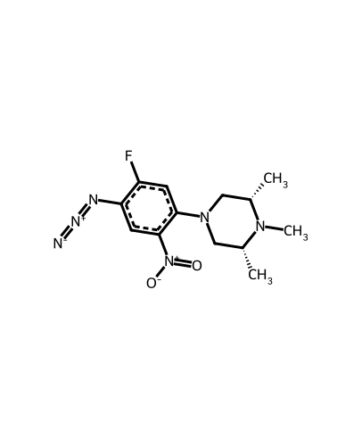 C[C@@H]1CN(c2cc(F)c(N=[N+]=[N-])cc2[N+](=O)[O-])C[C@H](C)N1C